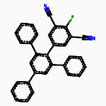 N#Cc1cc(-c2c(-c3ccccc3)cc(-c3ccccc3)cc2-c2ccccc2)cc(C#N)c1F